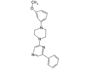 COc1cccc(N2CCN(c3cncc(-c4ccccc4)n3)CC2)c1